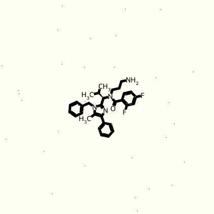 Cc1c(-c2ccccc2)nc([C@@H](C(C)C)N(CCCN)C(=O)c2ccc(F)cc2F)n1Cc1ccccc1